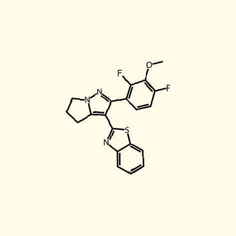 COc1c(F)ccc(-c2nn3c(c2-c2nc4ccccc4s2)CCC3)c1F